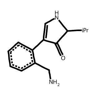 CC(C)C1NC=C(c2ccccc2CN)C1=O